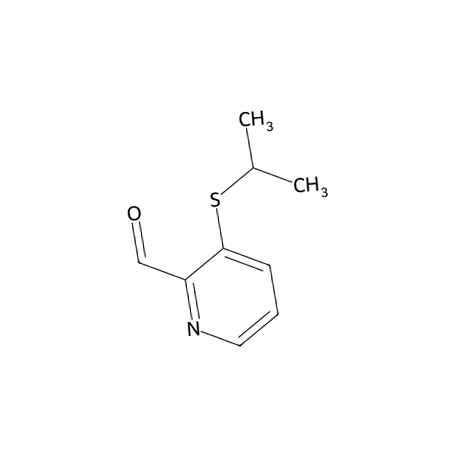 CC(C)Sc1cccnc1C=O